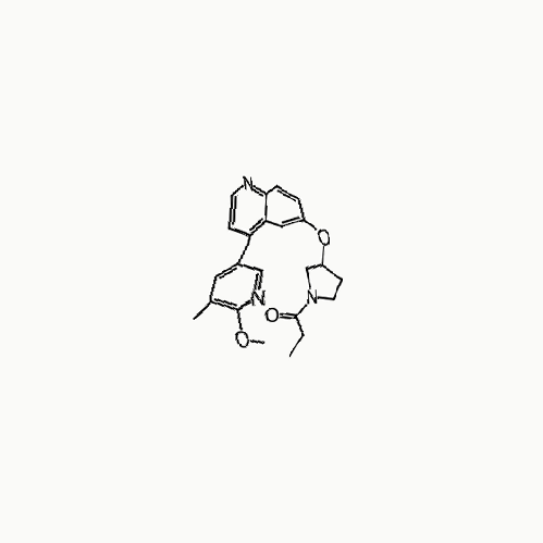 CCC(=O)N1CCC(Oc2ccc3nccc(-c4cnc(OC)c(C)c4)c3c2)C1